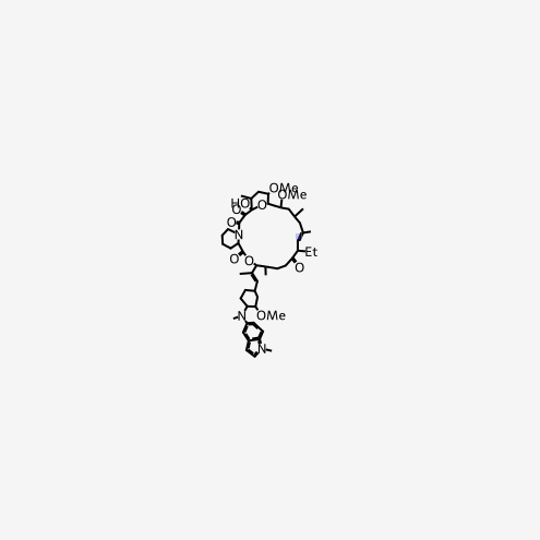 CCC1/C=C(\C)CC(C)CC(OC)C2OC(O)(C(=O)C(=O)N3CCCCC3C(=O)OC(C(C)=CC3CCC(N(C)c4ccc5c(ccn5C)c4)C(OC)C3)C(C)CCC1=O)C(C)CC2OC